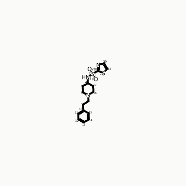 O=S(=O)(NC1CCN(CCc2ccccc2)CC1)c1nccs1